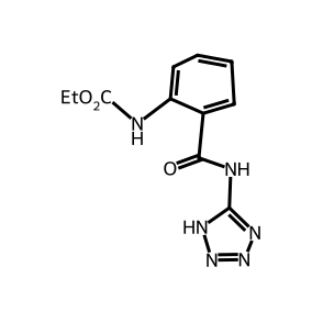 CCOC(=O)Nc1ccccc1C(=O)Nc1nnn[nH]1